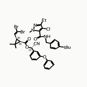 CC1(C)[C@H](C(=O)O[C@H](C#N)c2cccc(Oc3ccccc3)c2)[C@@H]1C=C(Br)Br.CCc1nn(C)c(C(=O)NCc2ccc(C(C)(C)C)cc2)c1Cl